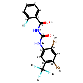 O=C(NC(=O)c1ccccc1F)Nc1cc(C(F)(F)F)c(Br)cc1Br